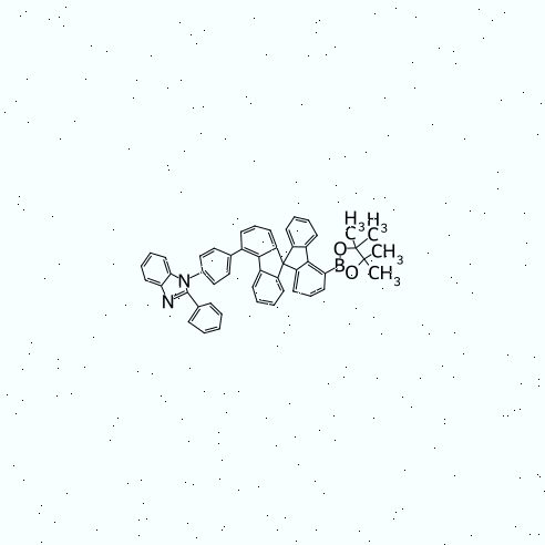 CC1(C)OB(c2cccc3c2-c2ccccc2C32c3ccccc3-c3c(-c4ccc(-n5c(-c6ccccc6)nc6ccccc65)cc4)cccc32)OC1(C)C